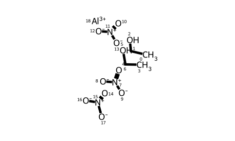 CCO.CCO.O=[N+]([O-])[O-].O=[N+]([O-])[O-].O=[N+]([O-])[O-].[Al+3]